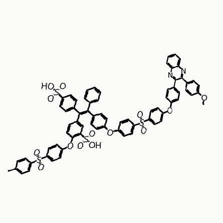 COc1ccc(-c2nc3ccccc3nc2-c2ccc(Oc3ccc(S(=O)(=O)c4ccc(Oc5ccc(/C(=C(/c6ccc(S(=O)(=O)O)cc6)c6ccc(Oc7ccc(S(=O)(=O)c8ccc(C)cc8)cc7)c(S(=O)(=O)O)c6)c6ccccc6)cc5)cc4)cc3)cc2)cc1